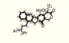 CO[C@]1(C)C(=O)OCc2c1cc1n(c2=O)Cc2c-1nc1ccccc1c2CCN(C(C)=O)C(C)C